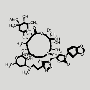 CC[C@H]1OC(=O)[C@H](C)[C@@H](O[C@H]2C[C@@](C)(OC)[C@@H](O)[C@H](C)O2)[C@H](C)[C@@H](O[C@@H]2O[C@H](C)C[C@H](N(C)CCc3cn(C[C@H]4CN(c5ccc6c(c5)OCO6)C(=O)O4)nn3)[C@H]2O)[C@](C)(O)C[C@@H](C)CN(C)[C@H](C)[C@@H](O)[C@]1(C)O